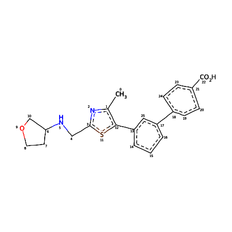 Cc1nc(CNC2CCOC2)sc1-c1cccc(-c2ccc(C(=O)O)cc2)c1